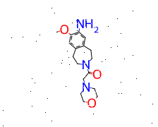 COc1cc2c(cc1N)CCN(C(=O)CN1CCOCC1)CC2